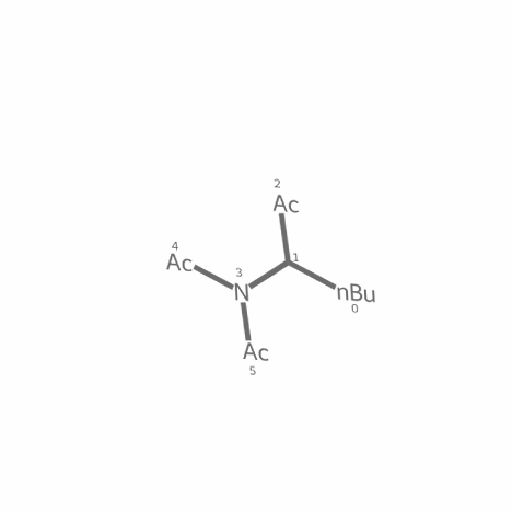 CCCCC(C(C)=O)N(C(C)=O)C(C)=O